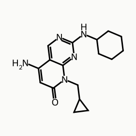 Nc1cc(=O)n(CC2CC2)c2nc(NC3CCCCC3)ncc12